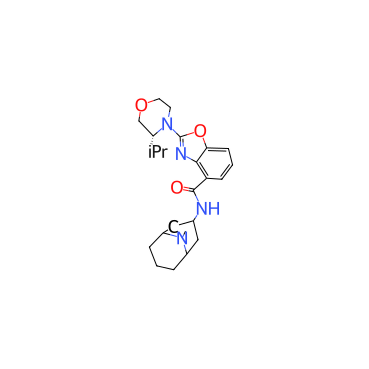 CC(C)[C@@H]1COCCN1c1nc2c(C(=O)NC3CC4CCCC(C3)N4C)cccc2o1